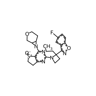 CCCC1(c2noc3ccc(F)cc23)CCN1c1nc2c(c(N3C4CCOCC43)n1)[S+]([O-])CC2